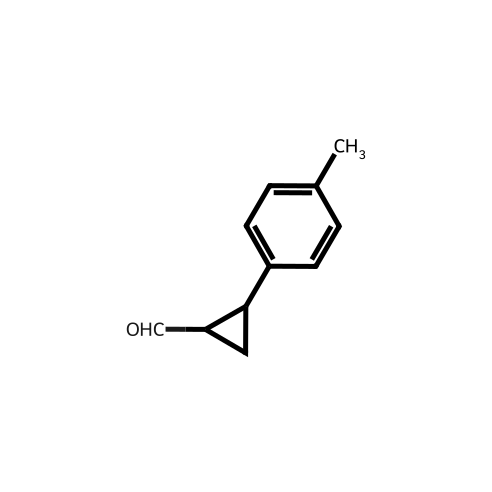 Cc1ccc(C2CC2C=O)cc1